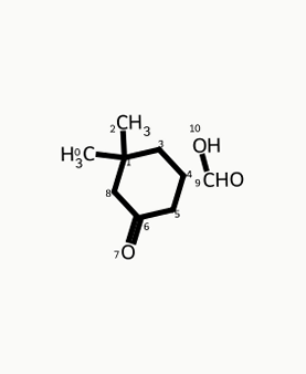 CC1(C)CCCC(=O)C1.O=CO